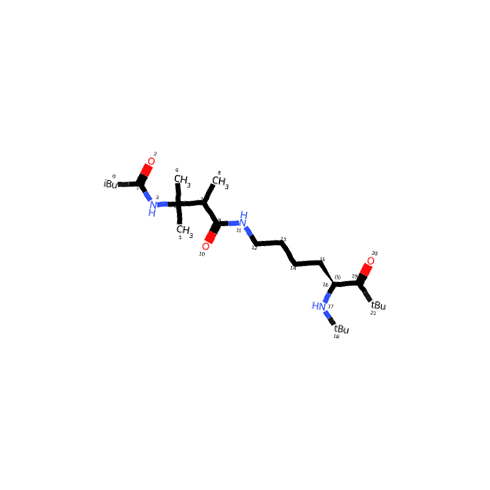 CCC(C)C(=O)NC(C)(C)C(C)C(=O)NCCCC[C@H](NC(C)(C)C)C(=O)C(C)(C)C